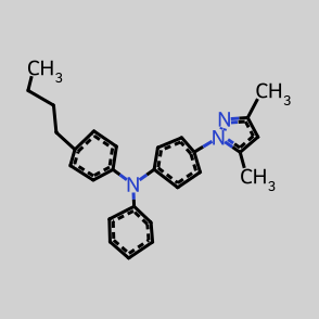 CCCCc1ccc(N(c2ccccc2)c2ccc(-n3nc(C)cc3C)cc2)cc1